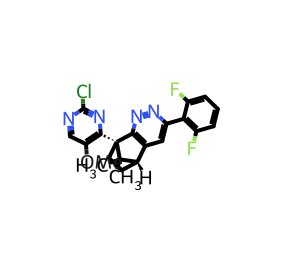 COc1cnc(Cl)nc1[C@]12CC[C@@H](c3cc(-c4c(F)cccc4F)nnc31)C2(C)C